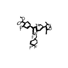 COC(=O)c1ccc(-c2cn(CC3(F)CCC(F)(F)CC3)c3cc(-c4c(C)noc4C)cnc23)cc1F